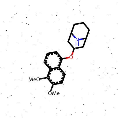 COc1ccc2c(OC3CC4CCCC(C3)N4)cccc2c1OC